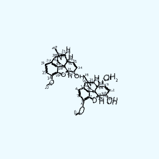 COc1ccc2c3c1O[C@H]1[C@@H](O)C=C[C@H]4[C@@H](C2)N(C)CC[C@@]341.COc1ccc2c3c1O[C@H]1[C@@H](O)C=C[C@H]4[C@@H](C2)N(C)CC[C@@]341.O